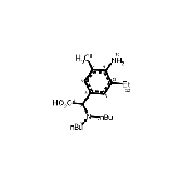 CCCCN(CCCC)C(C(=O)O)c1cc(C)c(N)c(CC)c1